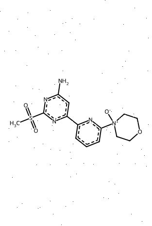 CS(=O)(=O)c1nc(N)cc(-c2cccc([N+]3([O-])CCOCC3)n2)n1